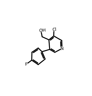 OCc1c(Cl)cncc1-c1ccc(F)cc1